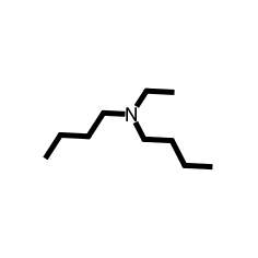 CCCCN(CC)CCCC